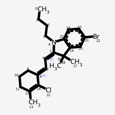 CCCCN1/C(=C/C=C2\CCCC(C)=C2Cl)C(C)(C)c2cc(Br)ccc21